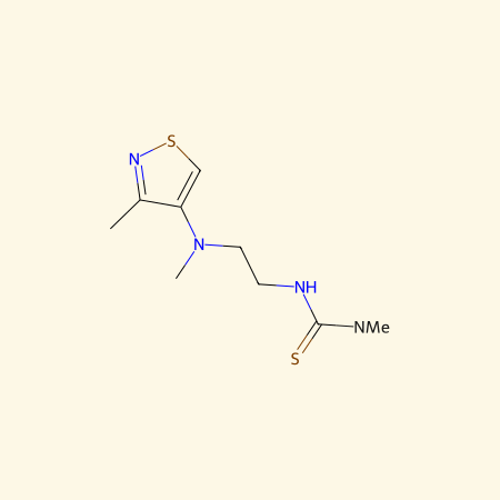 CNC(=S)NCCN(C)c1csnc1C